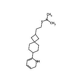 CN(C)SCCC1CC2(CCC(C3=CC=CCN3)CC2)C1